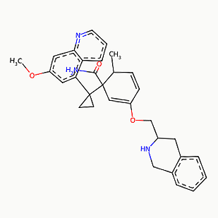 COc1cc(C2(C3(C(N)=O)C=C(OCC4Cc5ccccc5CN4)C=CC3C)CC2)c2cccnc2c1